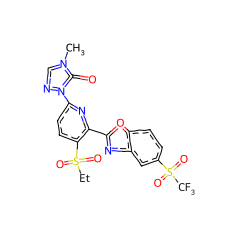 CCS(=O)(=O)c1ccc(-n2ncn(C)c2=O)nc1-c1nc2cc(S(=O)(=O)C(F)(F)F)ccc2o1